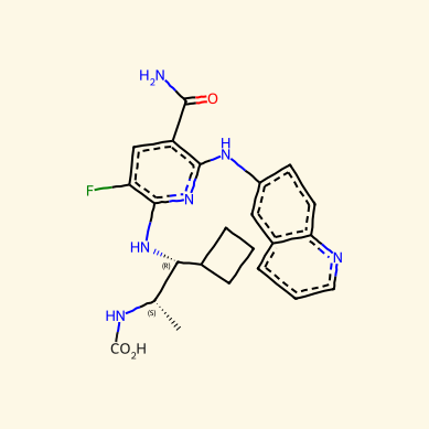 C[C@H](NC(=O)O)[C@H](Nc1nc(Nc2ccc3ncccc3c2)c(C(N)=O)cc1F)C1CCC1